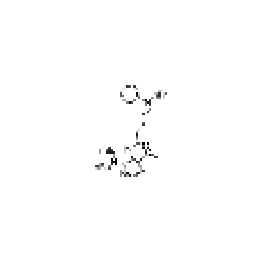 CCCCN(CCCC)c1ncnc(OCC)c1NC(=O)CCCCN(CCC)c1ccccc1